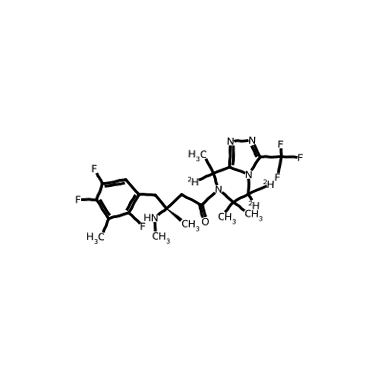 [2H]C1(C)c2nnc(C(F)(F)F)n2C([2H])([2H])C(C)(C)N1C(=O)C[C@@](C)(Cc1cc(F)c(F)c(C)c1F)NC